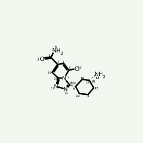 NC(=O)c1cc(Cl)n2c([C@H]3CCC[C@@H](N)C3)nnc2c1